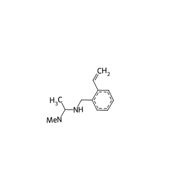 C=Cc1ccccc1CNC(C)NC